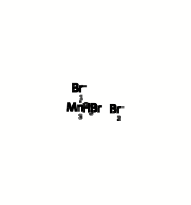 Br.[Br-].[Br-].[Mn+2]